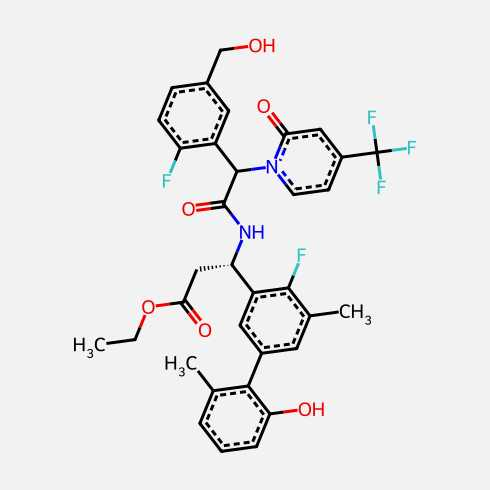 CCOC(=O)C[C@H](NC(=O)C(c1cc(CO)ccc1F)n1ccc(C(F)(F)F)cc1=O)c1cc(-c2c(C)cccc2O)cc(C)c1F